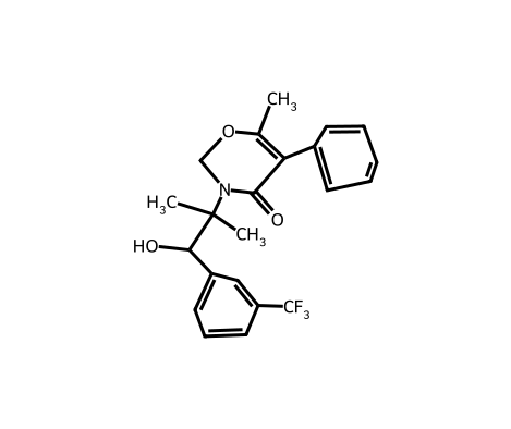 CC1=C(c2ccccc2)C(=O)N(C(C)(C)C(O)c2cccc(C(F)(F)F)c2)CO1